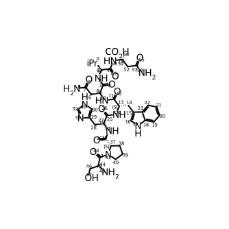 CC(C)[C@H](NC(=O)[C@H](CC(N)=O)NC(=O)[C@H](Cc1c[nH]c2ccccc12)NC(=O)[C@H](Cc1c[nH]cn1)NC(=O)[C@@H]1CCCN1C(=O)[C@@H](N)CO)C(=O)N[C@@H](CC(N)=O)C(=O)O